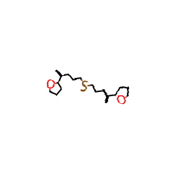 C=C(CCCSCCCC(=C)C1CCCO1)C1CCCO1